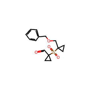 O=CC1(S(=O)(=O)C2(COCc3ccccc3)CC2)CC1